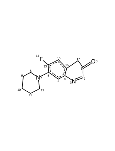 O=C1C=Nc2cc(N3CCCCC3)c(F)cc2C1